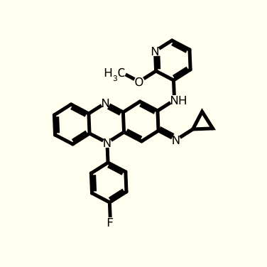 COc1ncccc1Nc1cc2nc3ccccc3n(-c3ccc(F)cc3)c-2c/c1=N/C1CC1